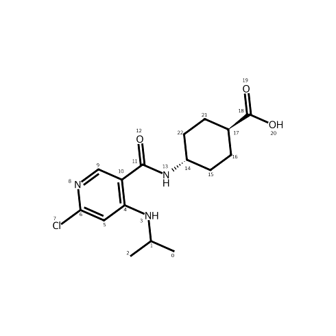 CC(C)Nc1cc(Cl)ncc1C(=O)N[C@H]1CC[C@H](C(=O)O)CC1